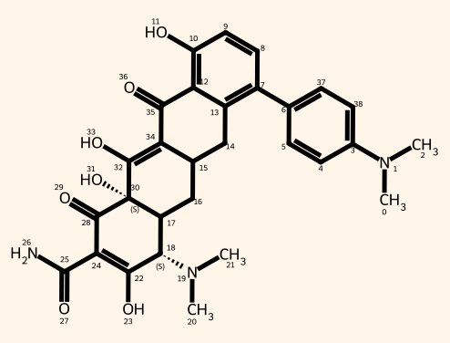 CN(C)c1ccc(-c2ccc(O)c3c2CC2CC4[C@H](N(C)C)C(O)=C(C(N)=O)C(=O)[C@@]4(O)C(O)=C2C3=O)cc1